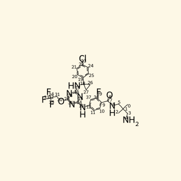 CC(C)(CN)CNC(=O)c1ccc(Nc2nc(NC3(c4ccc(Cl)cc4)CC3)nc(OCC(F)(F)F)n2)cc1F